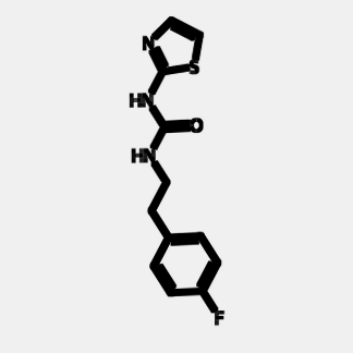 O=C(NCCc1ccc(F)cc1)Nc1nccs1